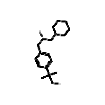 CCC(C)(C)c1ccc(C[C@H](C)CN2CCCCC2)cc1